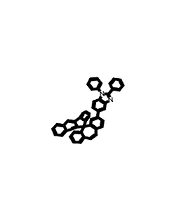 C1=Cc2ccc(-c3ccc4c(c3)nc(-c3ccccc3)n4-c3ccccc3)cc2C2(c3ccccc31)c1ccccc1-c1cc3ccccc3cc12